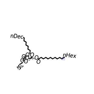 CCCCCC/C=C\CCCCCCCCCC(=O)OC[C@H](COP(=O)([O-])OCC[N+](C)(C)C)OC(=O)CCCCCCCCCCCCCCCCC